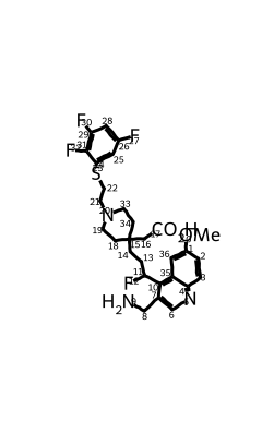 COc1ccc2ncc(CN)c(C(F)CCC3(CC(=O)O)CCN(CCSc4cc(F)cc(F)c4F)CC3)c2c1